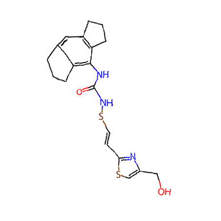 O=C(NS/C=C/c1nc(CO)cs1)Nc1c2c(cc3c1CCC3)CCC2